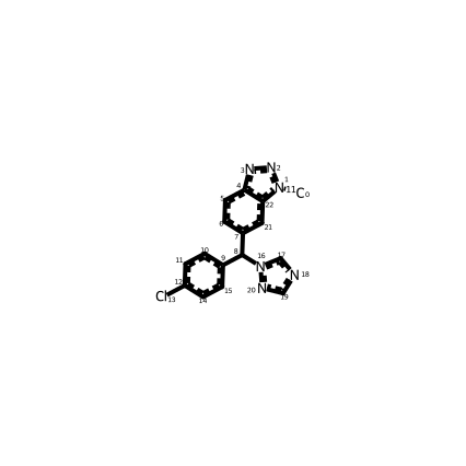 [11CH3]n1nnc2ccc(C(c3ccc(Cl)cc3)n3cncn3)cc21